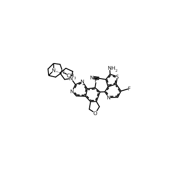 CN1CC2CC(C1)N2[C@@H]1CCN(c2ncc3c4c(c(-c5ncc(F)c6sc(N)c(C#N)c56)c(F)c3n2)COC4)C1